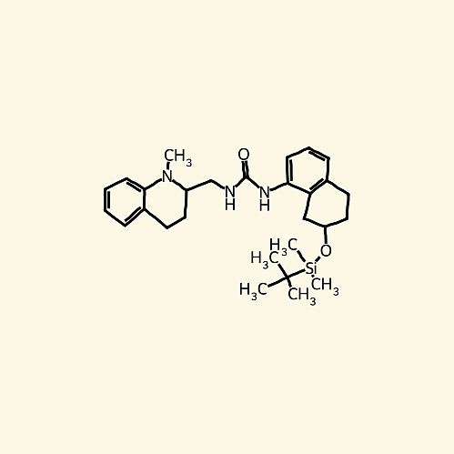 CN1c2ccccc2CCC1CNC(=O)Nc1cccc2c1CC(O[Si](C)(C)C(C)(C)C)CC2